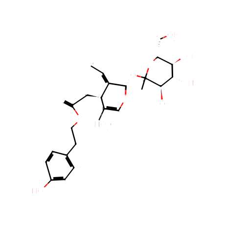 C=C(C[C@@H]1C(C(=O)O)=CO[C@@H](OC2(C)O[C@H](CO)[C@@H](O)[C@H](O)[C@H]2O)/C1=C/C)OCCc1ccc(O)cc1